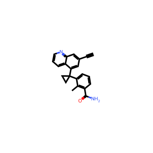 C#Cc1cc(C2(c3cccc(C(N)=O)c3C)CC2)c2cccnc2c1